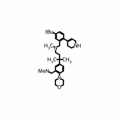 CNCc1cc(C(C)(C)CCN(C)Cc2cc(C(C)(C)C)ccc2C2=CCNCC2)ccc1N1CCOCC1